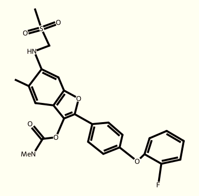 CNC(=O)Oc1c(-c2ccc(Oc3ccccc3F)cc2)oc2cc(NCS(C)(=O)=O)c(C)cc12